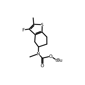 Cc1sc2c(c1F)CC(N(C)C(=O)OC(C)(C)C)CC2